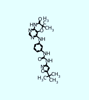 CC1(C)Oc2c(ncnc2Nc2cccc(NC(=O)Nc3cc(C(C)(C)C)on3)c2)NC1=O